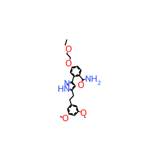 CCOCCOc1ccc(C(N)=O)c(-c2cc(CCc3cc(OC)cc(OC)c3)[nH]n2)c1